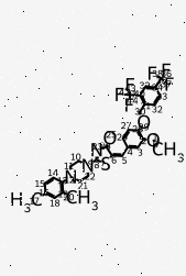 COc1cc(/C=C2/SC(N3CCN(c4ccc(C)cc4C)CC3)=NC2=O)ccc1OCc1ccc(C(F)(F)F)cc1C(F)(F)F